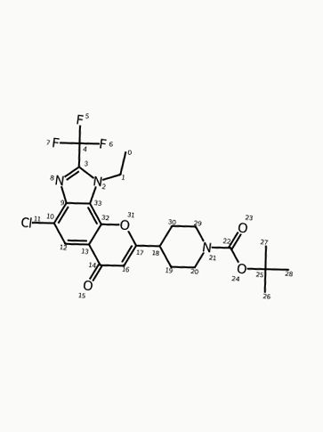 CCn1c(C(F)(F)F)nc2c(Cl)cc3c(=O)cc(C4CCN(C(=O)OC(C)(C)C)CC4)oc3c21